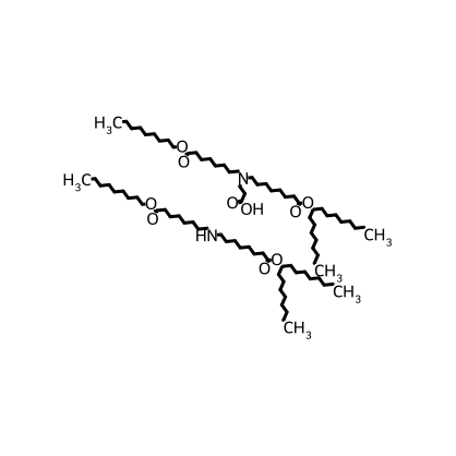 CCCCCCCCCOC(=O)CCCCCCCN(CCCCCCCC(=O)OC(CCCCCCCC)CCCCCCCC)CCC(=O)O.CCCCCCCCCOC(=O)CCCCCCCNCCCCCCCC(=O)OC(CCCCCCCC)CCCCCCCC